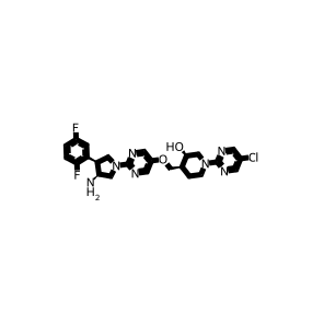 N[C@H]1CN(c2ncc(OC[C@@H]3CCN(c4ncc(Cl)cn4)C[C@@H]3O)cn2)C[C@@H]1c1cc(F)ccc1F